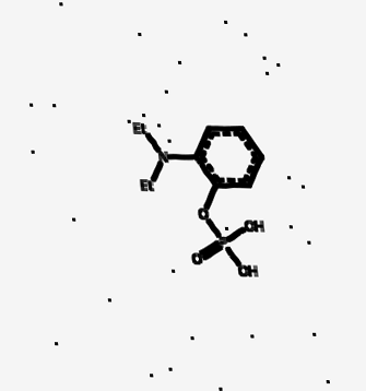 CCN(CC)c1ccccc1OP(=O)(O)O